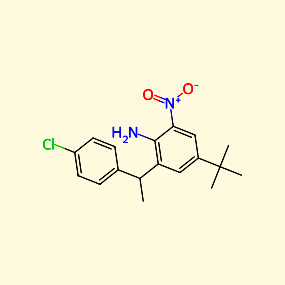 CC(c1ccc(Cl)cc1)c1cc(C(C)(C)C)cc([N+](=O)[O-])c1N